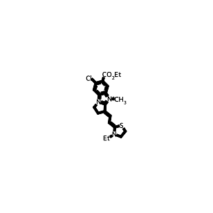 CCOC(=O)c1cc2c(cc1Cl)n1c([n+]2C)C(=CC=C2SCCN2CC)CC1